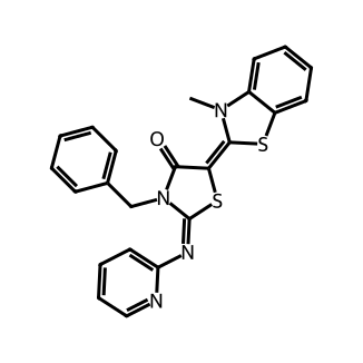 CN1/C(=C2/S/C(=N/c3ccccn3)N(Cc3ccccc3)C2=O)Sc2ccccc21